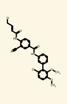 COc1ccc(Cl)c(-c2cccc(NC(=O)c3ccc(NC(=O)/C=C/CCl)c(C#N)c3)c2)c1OC